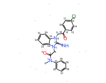 CN(C(=O)Cn1c(=N)n(CC(=O)c2ccc(Cl)cc2)c2ccccc21)c1ccccc1